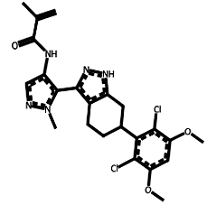 C=C(C)C(=O)Nc1cnn(C)c1-c1n[nH]c2c1CCC(c1c(Cl)c(OC)cc(OC)c1Cl)C2